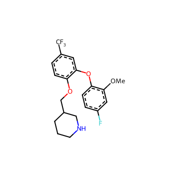 COc1cc(F)ccc1Oc1cc(C(F)(F)F)ccc1OCC1CCCNC1